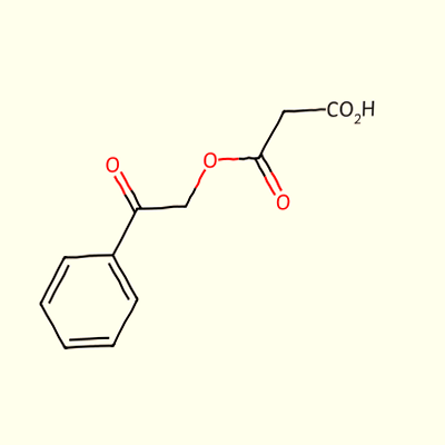 O=C(O)CC(=O)OCC(=O)c1ccccc1